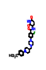 O=C1CC[C@@H](NC(=O)c2ccc(N3CCN(CC4CCN(c5ccc(C(=O)O)cc5)CC4)CC3)cc2F)C(=O)N1